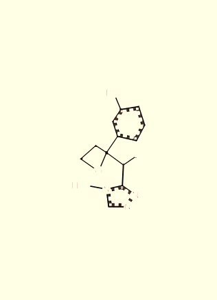 Cn1cnnc1C(F)C1(c2cccc(Br)c2)CCO1